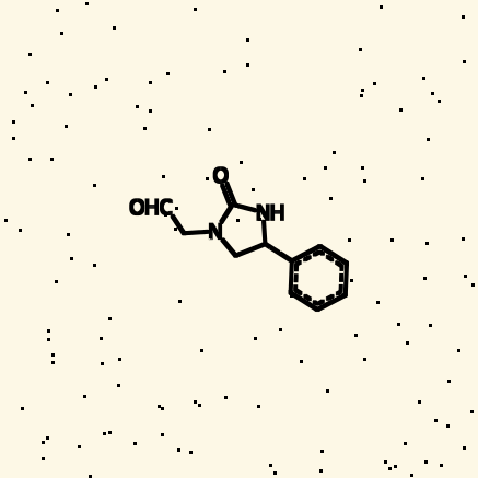 O=CCN1CC(c2ccccc2)NC1=O